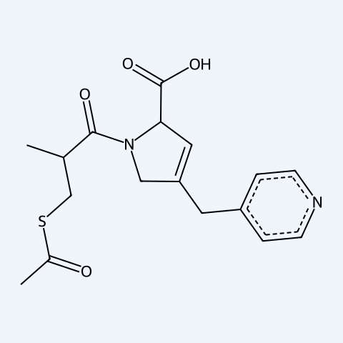 CC(=O)SCC(C)C(=O)N1CC(Cc2ccncc2)=CC1C(=O)O